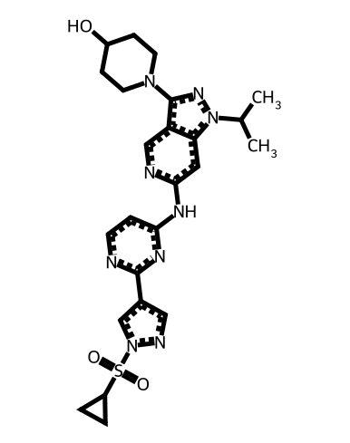 CC(C)n1nc(N2CCC(O)CC2)c2cnc(Nc3ccnc(-c4cnn(S(=O)(=O)C5CC5)c4)n3)cc21